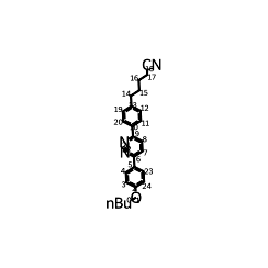 CCCCOc1ccc(-c2ccc(-c3ccc(CCCCC#N)cc3)nn2)cc1